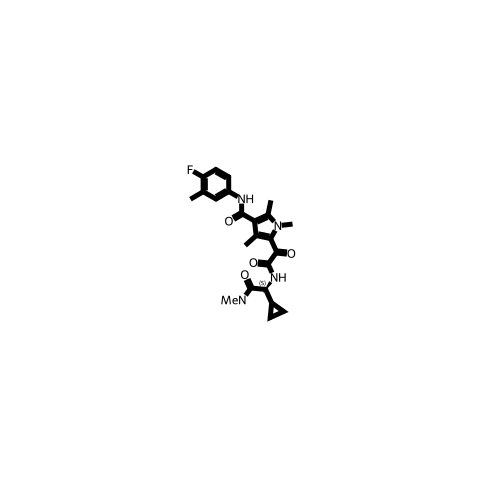 CNC(=O)[C@@H](NC(=O)C(=O)c1c(C)c(C(=O)Nc2ccc(F)c(C)c2)c(C)n1C)C1CC1